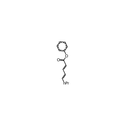 CCC/C=C/C=C/C(=O)Oc1cc[c]cc1